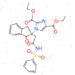 CCOC(=O)c1cn(C2(CC(=O)NS(=O)(=O)c3ccccc3)Cc3ccccc3C2=O)c(C(=O)OCC)n1